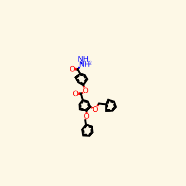 NNC(=O)c1ccc(OC(=O)c2ccc(OCc3ccccc3)c(OCc3ccccc3)c2)cc1